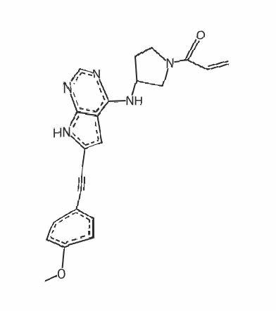 C=CC(=O)N1CCC(Nc2ncnc3[nH]c(C#Cc4ccc(OC)cc4)cc23)C1